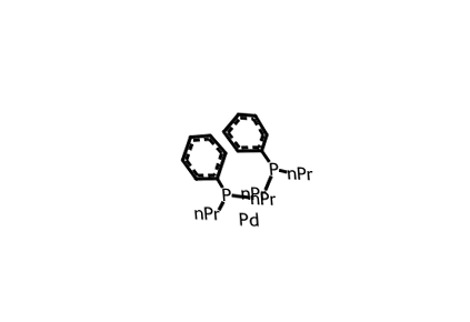 CCCP(CCC)c1ccccc1.CCCP(CCC)c1ccccc1.[Pd]